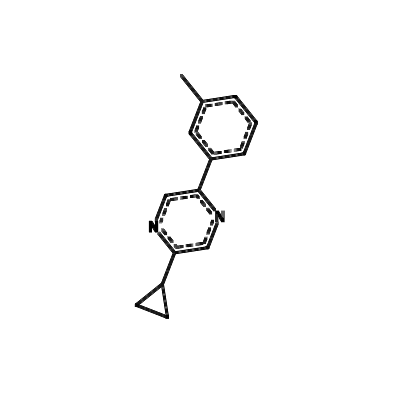 Cc1cccc(-c2cnc(C3CC3)cn2)c1